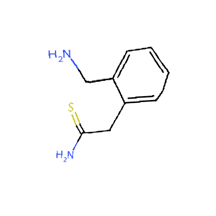 NCc1ccccc1CC(N)=S